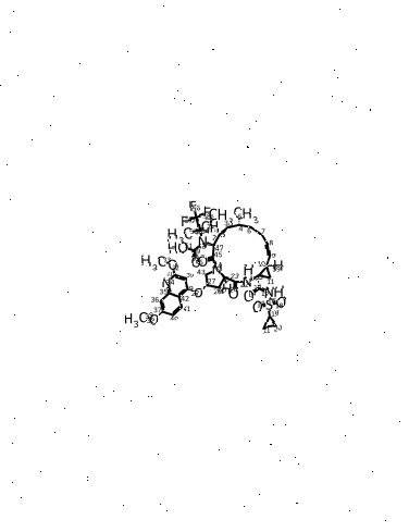 CC[C@@H]1C[C@H](C)CC/C=C\[C@@H]2C[C@@]2(C(=O)NS(=O)(=O)C2CC2)NC(=O)[C@@H]2C[C@@H](Oc3cc(OC)nc4cc(OC)ccc34)CN2C(=O)[C@H]1N(C(=O)O)C(C)(C)C(F)(F)F